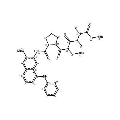 COc1cc2ncnc(Nc3ccccn3)c2cc1NC(=O)C1CCCN1C(=O)N(CC(C)(C)C)C(=O)C(C)N(C)C(=O)OC(C)(C)C